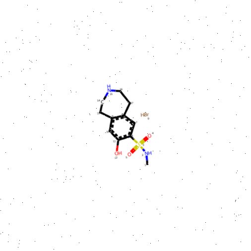 Br.CNS(=O)(=O)c1cc2c(cc1O)CCNCC2